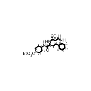 CCOC(=O)N1CCC(NC(=O)[C@H](CCc2ccccc2)N[C@@H](CCN)C(=O)O)CC1